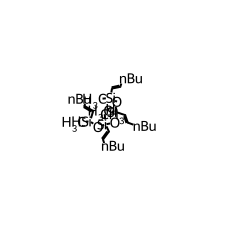 CCCCC=C[SiH](C)O[Si](C)(C=CCCCC)O[Si](C)(C=CCCCC)O[SiH](C)C=CCCCC